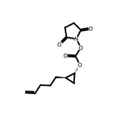 C=CCCC[C@@H]1C[C@H]1OC(=O)ON1C(=O)CCC1=O